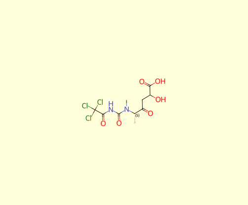 C[C@@H](C(=O)CC(O)C(=O)O)N(C)C(=O)NC(=O)C(Cl)(Cl)Cl